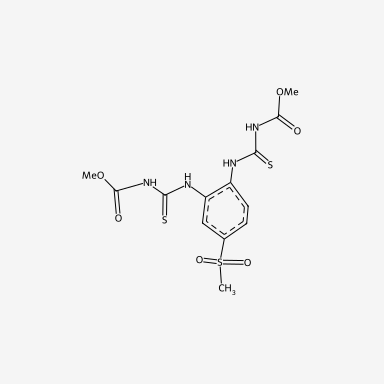 COC(=O)NC(=S)Nc1ccc(S(C)(=O)=O)cc1NC(=S)NC(=O)OC